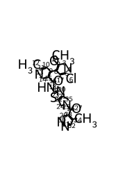 COc1cnc(Cl)cc1-c1cc(C)ncc1C(=O)Nc1nc2c(s1)CN(C(=O)c1cnncc1C)C2